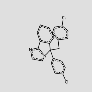 Clc1ccc(CC2(c3ccc(Cl)cc3)c3ccccc3-c3nccn32)cc1